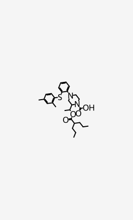 CCCC(CCC)C(=O)OC(C)C1CN(c2ccccc2Sc2ccc(C)cc2C)CCN1C(=O)O